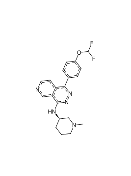 CN1CCC[C@@H](Nc2nnc(-c3ccc(OC(F)F)cc3)c3ccncc23)C1